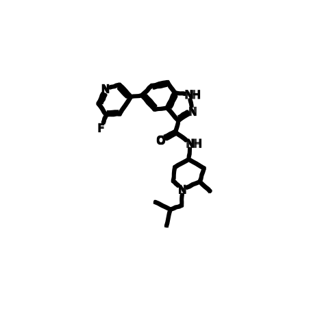 CC(C)CN1CCC(NC(=O)c2n[nH]c3ccc(-c4cncc(F)c4)cc23)CC1C